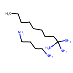 CCCCCCCCC(N)(N)N.NCCCCN